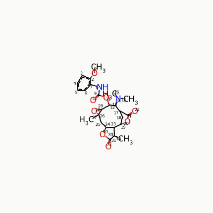 COc1ccccc1NC(=O)OC1C(N(C)C)C2CC(OC2=O)C2C(CC3(C)OC13)OC(=O)C2C